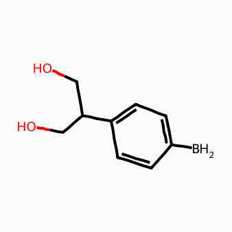 Bc1ccc(C(CO)CO)cc1